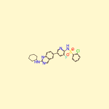 O=S(=O)(Nc1ncc(-c2ccc3nc(NC4CCCCC4)ncc3c2)cc1F)c1ccccc1Cl